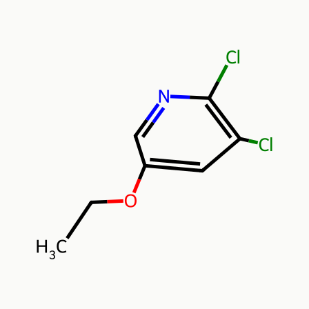 CCOc1cnc(Cl)c(Cl)c1